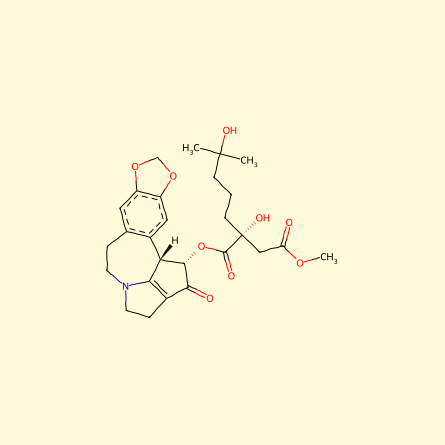 COC(=O)C[C@](O)(CCCC(C)(C)O)C(=O)O[C@@H]1C(=O)C2=C3[C@@H]1c1cc4c(cc1CCN3CC2)OCO4